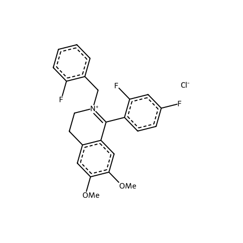 COc1cc2c(cc1OC)C(c1ccc(F)cc1F)=[N+](Cc1ccccc1F)CC2.[Cl-]